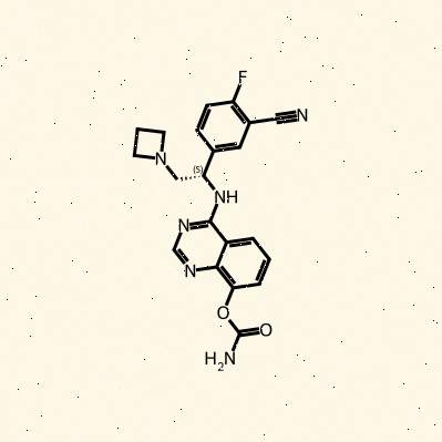 N#Cc1cc([C@@H](CN2CCC2)Nc2ncnc3c(OC(N)=O)cccc23)ccc1F